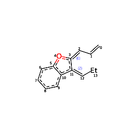 C=C/C=c1/oc2ccccc2/c1=C/CC